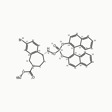 CC(C)(C)OC(=O)N1CC[C@@H](NOP2(=O)Oc3ccc4ccccc4c3-c3c(ccc4ccccc34)O2)c2ccc(Br)cc2C1